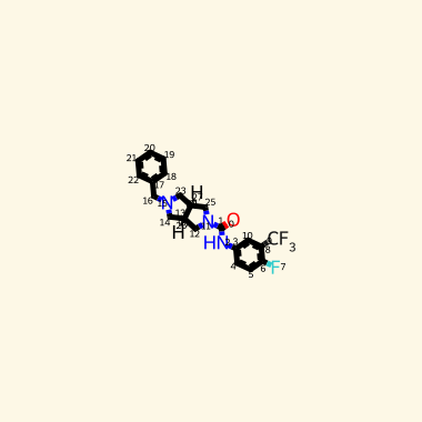 O=C(Nc1ccc(F)c(C(F)(F)F)c1)N1C[C@H]2CN(Cc3ccccc3)C[C@H]2C1